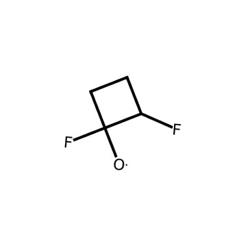 [O]C1(F)CCC1F